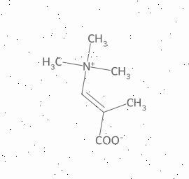 CC(=C[N+](C)(C)C)C(=O)[O-]